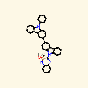 CS1(=O)=Nc2ccccc2N=C1n1c2ccccc2c2cc(-c3ccc4c(c3)c3ccccc3n4-c3ccccc3)ccc21